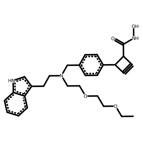 CCOCCOCCN(CCc1c[nH]c2ccccc12)Cc1ccc(C2C#CC2C(=O)NO)cc1